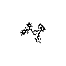 NC(=O)NCCCCN(C[C@H]1CN(CC[C@H](NC(=O)C2CCC(F)(F)CC2)c2ccccc2)CCN1)[C@H]1CCCc2cccnc21